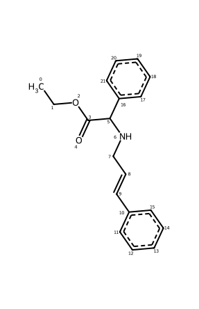 CCOC(=O)C(NCC=Cc1ccccc1)c1ccccc1